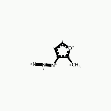 Cc1occc1N=[N+]=[N-]